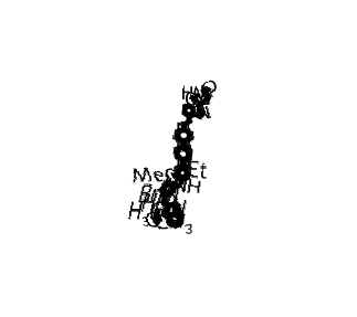 CCc1cc(Nc2ncc(Br)c(Nc3cnc4ccccc4c3P(C)(C)=O)n2)c(OC)cc1N1CCC(N2CCN(CCc3cccc4c3cnn4C3CCC(=O)NC3=O)CC2)CC1